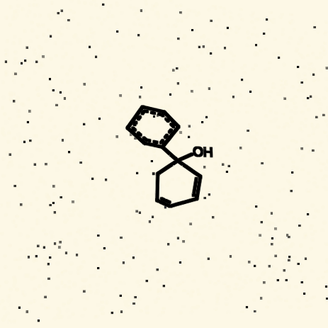 OC1(c2ccccc2)[CH]C=CC=C1